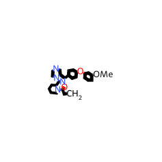 C=CC(=O)N1CCCCC1c1nc(-c2ccc(Oc3cccc(OC)c3)cc2)c2cnccn12